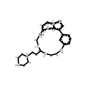 c1cc2cc(c1)-c1cnn3ccc(nc13)NCCC(CCN1CCOCC1)CCCO2